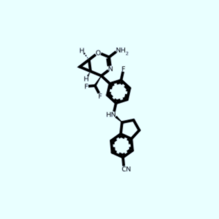 N#Cc1ccc2c(c1)CC[C@@H]2Nc1ccc(F)c([C@@]2(C(F)F)N=C(N)O[C@@H]3C[C@@H]32)c1